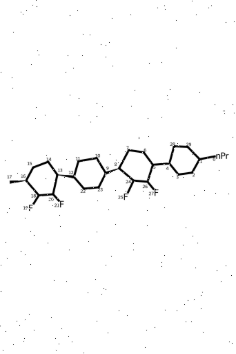 CCCC1CCC(C2CC[C@H](C3CCC([C@@H]4CC[C@H](C)C(F)C4F)CC3)C(F)C2F)CC1